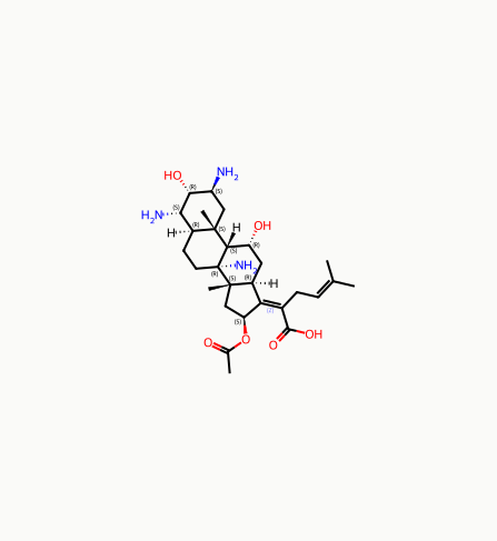 CC(=O)O[C@H]1C[C@@]2(C)[C@@H](C[C@@H](O)[C@H]3[C@@]4(C)C[C@H](N)[C@@H](O)[C@@H](N)[C@@H]4CC[C@@]32N)/C1=C(\CC=C(C)C)C(=O)O